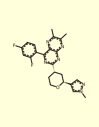 Cc1nc2nc([C@H]3CCO[C@H](c4cnn(C)c4)C3)nc(-c3ccc(F)cc3F)c2nc1C